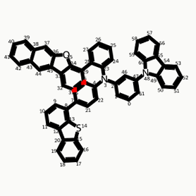 c1cc(N(c2ccc(-c3cccc4c3sc3ccccc34)cc2)c2ccccc2-c2cccc3c2oc2cc4ccccc4cc23)cc(-n2c3ccccc3c3ccccc32)c1